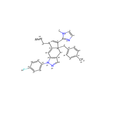 C=C(c1nccn1C)C1(Cc2ccc(C(F)(F)F)cc2)Cc2cnn(-c3ccc(F)cc3)c2C=C1CCNC